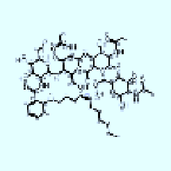 CCCCCC/C=C\CCCOc1ccccc1C(=O)N[C@@H]1C(OC2C(CO)OC(OC3C(CO)OC(OC4C(COS)OC(O)C(NC(C)=O)C4O)C(NC(C)=O)C3O)[C@@H](NC(C)=O)C2O)OC(CO)C(O)C1O